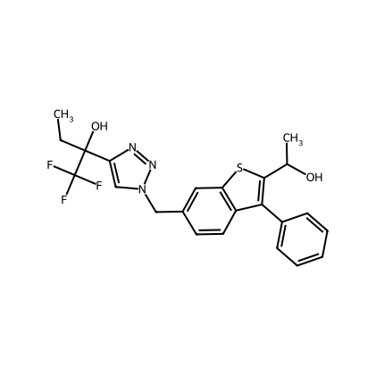 CCC(O)(c1cn(Cc2ccc3c(-c4ccccc4)c(C(C)O)sc3c2)nn1)C(F)(F)F